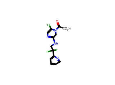 O=C(O)C(=O)N1CC(NCC(F)(F)c2ccccn2)=NC=C1Cl